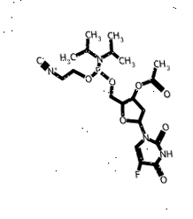 [C-]#[N+]CCOP(OCC1OC(n2cc(F)c(=O)[nH]c2=O)CC1OC(C)=O)N(C(C)C)C(C)C